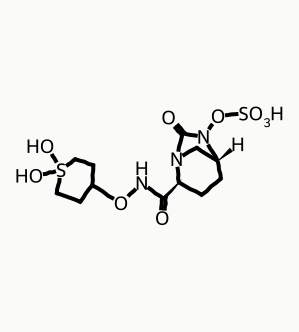 O=C(NOC1CCS(O)(O)CC1)[C@@H]1CC[C@@H]2CN1C(=O)N2OS(=O)(=O)O